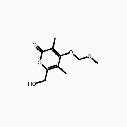 COCOc1c(C)c(CO)oc(=O)c1C